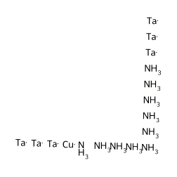 N.N.N.N.N.N.N.N.N.N.[Cu].[Ta].[Ta].[Ta].[Ta].[Ta].[Ta]